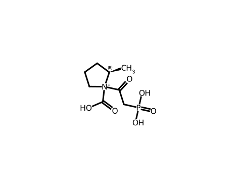 C[C@@H]1CCC[N+]1(C(=O)O)C(=O)CP(=O)(O)O